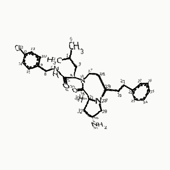 CC(C)C[C@H](C(=O)NCc1ccc(Cl)cc1)N1CCC(CCc2ccccc2)N2C[C@H](N)C[C@H]2C1=O